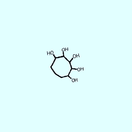 OC1CCCC(O)C(O)C(O)C1O